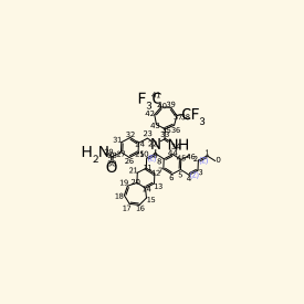 C/C=C\C=C/c1ccc(/C(=C\C2=CC=C3CC=CC=CC3C2)N(Cc2ccc(C(N)=O)cc2)C(=N)C2=CC(C(F)(F)F)=CC(C(F)(F)F)=CC2)cc1C